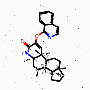 C[C@H]1C[C@H]2NC(=O)C(Oc3nccc4ccccc34)=C[C@]2(C)[C@H]2CC[C@]3(C)CCC[C@H]3[C@H]12